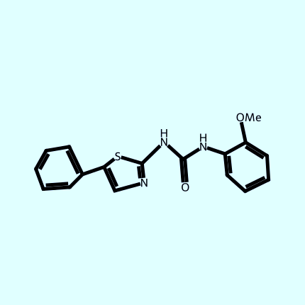 COc1ccccc1NC(=O)Nc1ncc(-c2ccccc2)s1